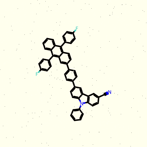 N#Cc1ccc2c(c1)c1cc(-c3ccc(-c4ccc5c(-c6ccc(F)cc6)c6ccccc6c(-c6ccc(F)cc6)c5c4)cc3)ccc1n2-c1ccccc1